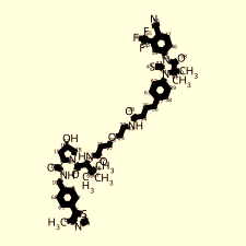 Cc1ncsc1-c1ccc(CNC(=O)[C@@H]2C[C@@H](O)CN2C(=O)C(NC(=O)CCOCCNC(=O)CCCc2ccc(N3C(=S)N(c4ccc(C#N)c(C(F)(F)F)c4)C(=O)C3(C)C)cc2)C(C)(C)C)cc1